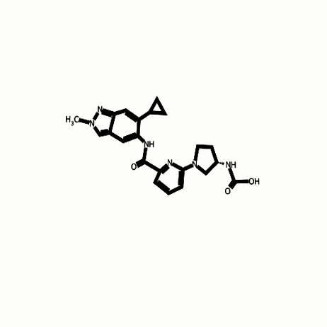 Cn1cc2cc(NC(=O)c3cccc(N4CC[C@H](NC(=O)O)C4)n3)c(C3CC3)cc2n1